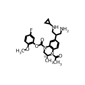 COc1ccc(F)cc1OC(=O)N1C[C@H](C)N(C(C)=O)c2ccc(C(CN)CNC3CC3)cc21